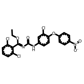 CCOC(=NC(=O)Nc1ccc(Oc2ccc([N+](=O)[O-])cc2)c(Cl)c1)c1c(Cl)cccc1Cl